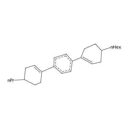 CCCCCCC1CC=C(c2ccc(C3=CCC(CCC)CC3)cc2)CC1